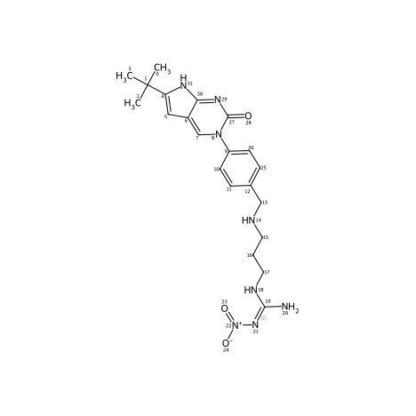 CC(C)(C)c1cc2cn(-c3ccc(CNCCCN/C(N)=N\[N+](=O)[O-])cc3)c(=O)nc2[nH]1